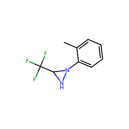 Cc1ccccc1N1NC1C(F)(F)F